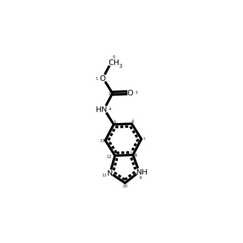 COC(=O)Nc1ccc2[nH]cnc2c1